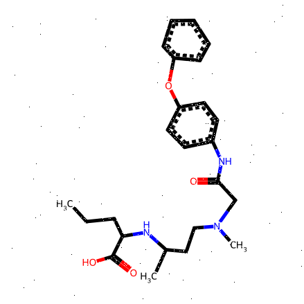 CCCC(NC(C)CCN(C)CC(=O)Nc1ccc(Oc2ccccc2)cc1)C(=O)O